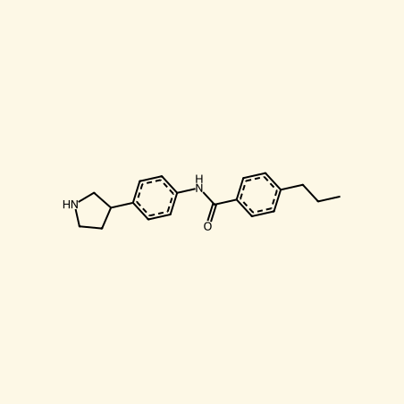 CCCc1ccc(C(=O)Nc2ccc(C3CCNC3)cc2)cc1